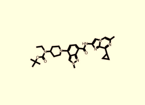 CCN(C(=O)OC(C)(C)C)C1CCN(c2ccc(C(=O)Nc3cn4cc(C)nc(C5CC5)c4n3)c3nn(C)cc23)CC1